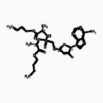 CCCCOC(=O)[C@H](C)NP(=O)(CO[C@@H]1C=C(F)[C@H](n2cnc3c(N)ncnc32)O1)N[C@@H](C)C(=O)OCCCC